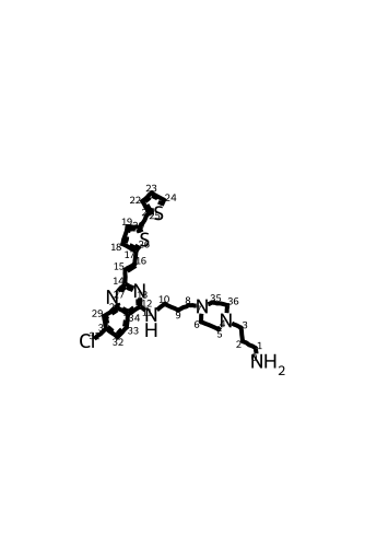 NCCCN1CCN(CCCNc2nc(C=Cc3ccc(-c4cccs4)s3)nc3cc(Cl)ccc23)CC1